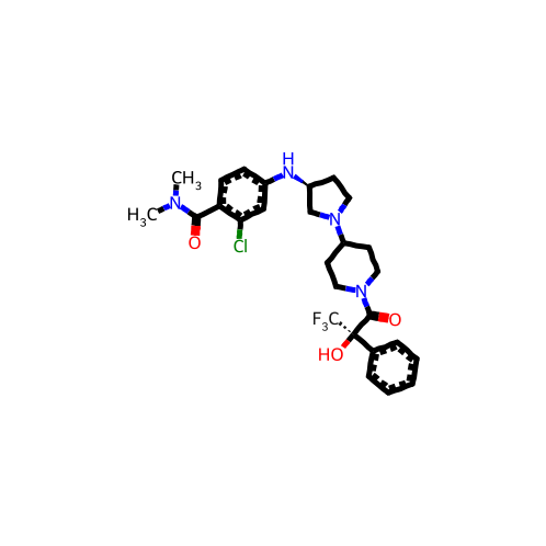 CN(C)C(=O)c1ccc(N[C@H]2CCN(C3CCN(C(=O)[C@](O)(c4ccccc4)C(F)(F)F)CC3)C2)cc1Cl